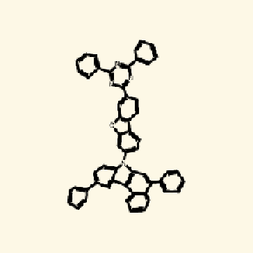 c1ccc(-c2ccc3c(c2)c2c4ccccc4c(-c4ccccc4)cc2n3-c2ccc3c(c2)oc2cc(-c4nc(-c5ccccc5)nc(-c5ccccc5)n4)ccc23)cc1